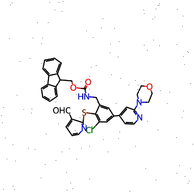 O=Cc1cccnc1Sc1c(Cl)cc(-c2ccnc(N3CCOCC3)c2)cc1CNC(=O)OCC1c2ccccc2-c2ccccc21